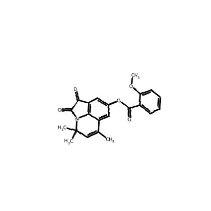 COc1ccccc1C(=O)Oc1cc2c3c(c1)C(C)=CC(C)(C)N3C(=O)C2=O